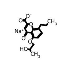 CCCc1ccc(OCC(C)O)c2c(=O)cc(C(=O)[O-])oc12.[Na+]